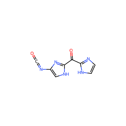 O=C=Nc1c[nH]c(C(=O)c2ncc[nH]2)n1